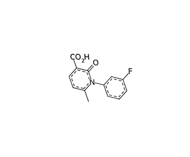 Cc1ccc(C(=O)O)c(=O)n1-c1cccc(F)c1